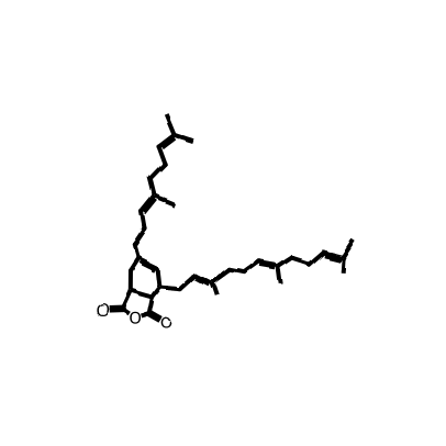 CC(C)=CCC/C(C)=C/CCC1=CC(C/C=C(\C)CC/C=C(\C)CCC=C(C)C)C2C(=O)OC(=O)C2C1